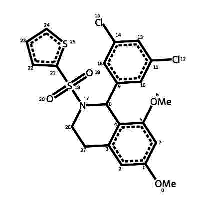 COc1cc2c(c(OC)c1)C(c1cc(Cl)cc(Cl)c1)N(S(=O)(=O)c1cccs1)CC2